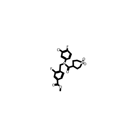 COC(=O)c1ccc(CN(C(=O)C2CCS(=O)(=O)CC2)c2ccc(F)c(Cl)c2)c(F)c1